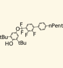 CCCCCc1ccc(-c2ccc(C(F)(F)Oc3cc(C(C)(C)C)c(O)c(C(C)(C)C)c3)c(F)c2F)cc1